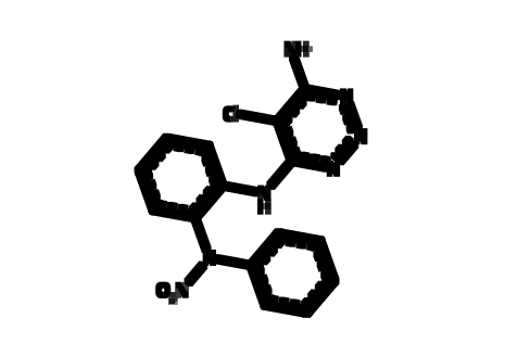 [NH]c1nnnc(Nc2ccccc2N(c2ccccc2)[N+](=O)[O-])c1Cl